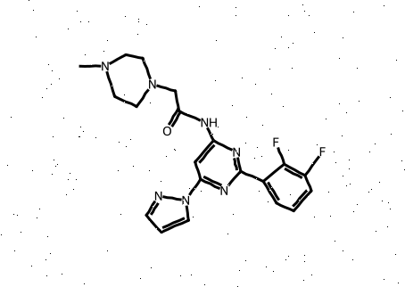 CN1CCN(CC(=O)Nc2cc(-n3cccn3)nc(-c3cccc(F)c3F)n2)CC1